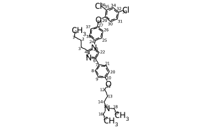 CCCCc1nc(-c2ccc(OCCCN(CC)CC)cc2)cn1-c1ccc(Oc2ccc(Cl)cc2Cl)cc1